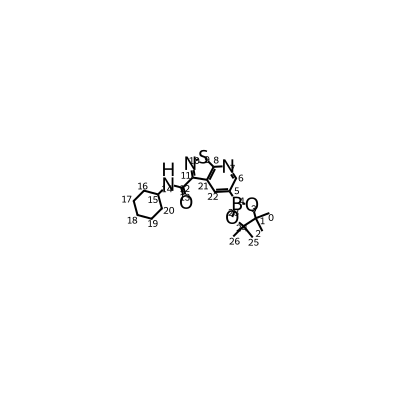 CC1(C)OB(c2cnc3snc(C(=O)NC4CCCCC4)c3c2)OC1(C)C